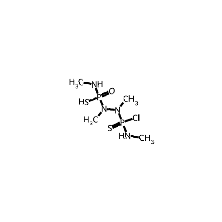 CNP(=O)(S)N(C)N(C)P(=S)(Cl)NC